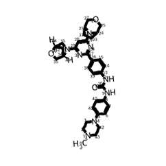 CN1CCN(c2ccc(NC(=O)Nc3ccc(-c4nc(N5C6CCC5COC6)cc(N5C[C@@H]6C[C@H]5CO6)n4)cc3)cc2)CC1